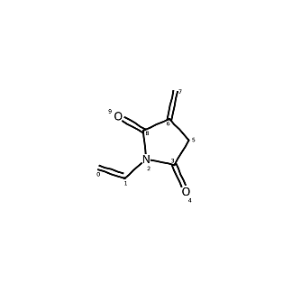 C=CN1C(=O)CC(=C)C1=O